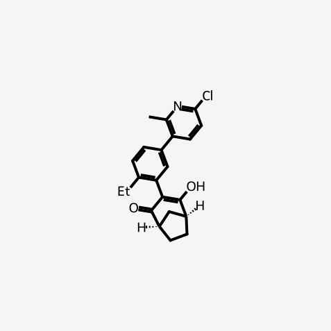 CCc1ccc(-c2ccc(Cl)nc2C)cc1C1=C(O)[C@H]2CC[C@H](C2)C1=O